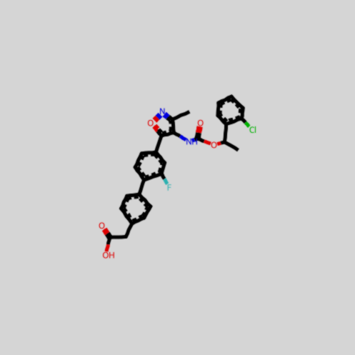 Cc1noc(-c2ccc(-c3ccc(CC(=O)O)cc3)c(F)c2)c1NC(=O)OC(C)c1ccccc1Cl